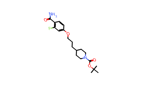 CC(C)(C)OC(=O)N1CCC(CCCOc2ccc(C(N)=O)c(F)c2)CC1